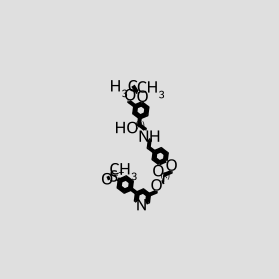 C[S+]([O-])c1ccc(-c2cncc(COC[C@@H]3COc4ccc(CCNC[C@H](O)c5ccc6c(c5)COC(C)(C)O6)cc4O3)c2)cc1